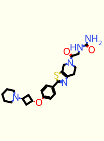 NC(=O)NCC(=O)N1CCc2nc(-c3ccc(O[C@H]4C[C@H](N5CCCCC5)C4)cc3)sc2C1